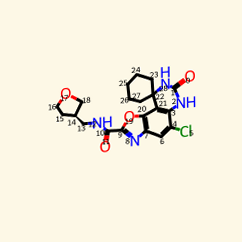 O=C1Nc2c(Cl)cc3nc(C(=O)NC[C@H]4CCOC4)oc3c2C2(CCCCC2)N1